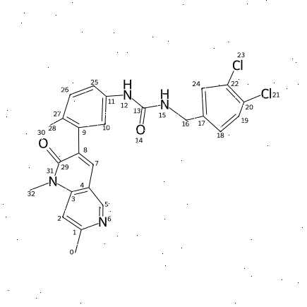 Cc1cc2c(cn1)cc(-c1cc(NC(=O)NCc3ccc(Cl)c(Cl)c3)ccc1C)c(=O)n2C